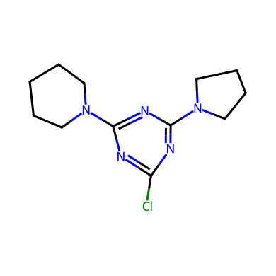 Clc1nc(N2CCCCC2)nc(N2CCCC2)n1